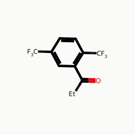 CCC(=O)c1cc(C(F)(F)F)ccc1C(F)(F)F